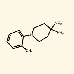 Cc1ccccc1N1CCC(N)(C(=O)O)CC1